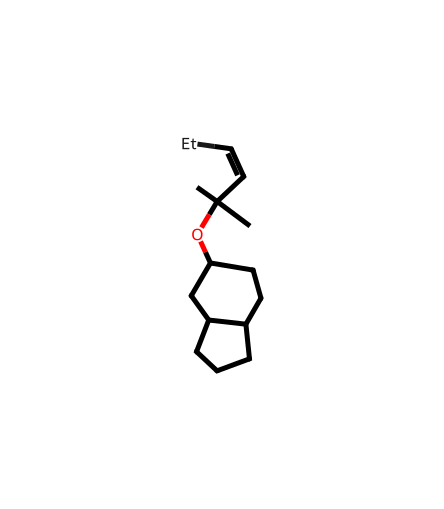 CC/C=C\C(C)(C)OC1CCC2CCCC2C1